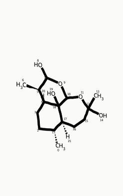 C[C@@H]1CC[C@H]2[C@@H](C)C(O)OC3OC(C)(O)CC[C@@H]1C32O